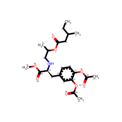 CCC(C)CC(=O)OC(C)CN[C@@H](Cc1ccc(OC(C)=O)c(OC(C)=O)c1)C(=O)OC